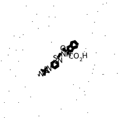 CN1CC2(C1)CN(c1ccc3nc(CNC(=O)C4(CC(=O)O)Cc5ccccc5C4)sc3c1)C2